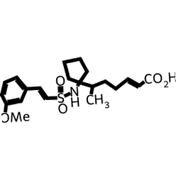 COc1cccc(C=CS(=O)(=O)NC2(C(C)CCC=CC(=O)O)CCCC2)c1